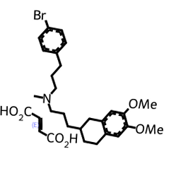 COc1cc2c(cc1OC)CC(CCCN(C)CCCc1ccc(Br)cc1)CC2.O=C(O)/C=C/C(=O)O